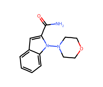 NC(=O)c1cc2ccccc2n1N1CCOCC1